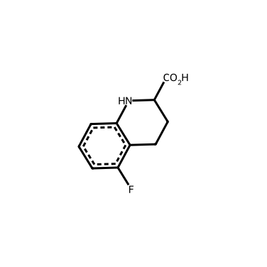 O=C(O)C1CCc2c(F)cccc2N1